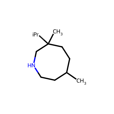 CC1CCNCC(C)(C(C)C)CC1